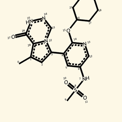 Cc1cc(-c2cc(NS(C)(=O)=O)cnc2OC2CCCCC2)n2cn[nH]c(=O)c12